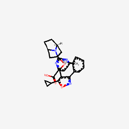 Cc1cc(C(=O)O)nc(N2C3CC[C@H]2CC(OCc2c(-c4ccccc4C)noc2C2CC2)C3)n1